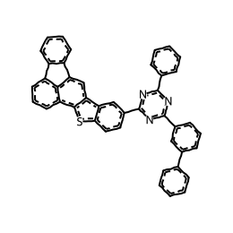 c1ccc(-c2cccc(-c3nc(-c4ccccc4)nc(-c4ccc5sc6c7cccc8c7c(cc6c5c4)-c4ccccc4-8)n3)c2)cc1